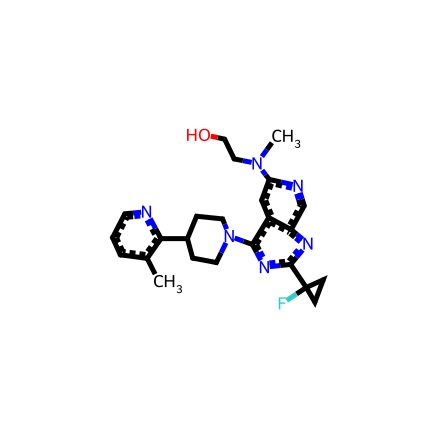 Cc1cccnc1C1CCN(c2nc(C3(F)CC3)nc3cnc(N(C)CCO)cc23)CC1